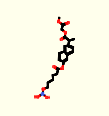 COC(=O)COC(=O)C(C)c1ccc2cc(OC(=O)CCCCCON(O)O)ccc2c1